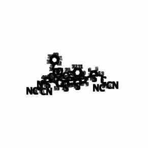 N#CC(=C=Cc1ccc(-c2cc3sc4c5sc6c(c5sc4c3s2)C(C(=O)OCc2ccccc2)(C(=O)OCc2ccccc2)C(c2ccc(N=C(C#N)C#N)s2)=C6)s1)C#N